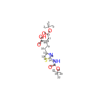 CC(C)(C)OC(=O)C[C@@H](CCc1csc(NC(=O)OC(C)(C)C)n1)C(=O)O